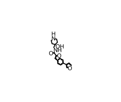 O=C(NCC1(O)CCNCC1)c1cc2ccc(-c3ccoc3)cc2o1